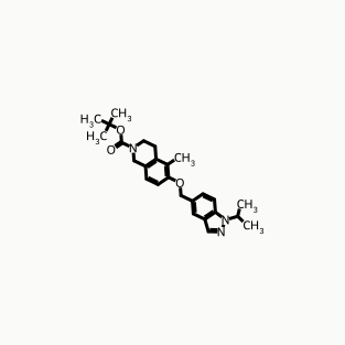 Cc1c(OCc2ccc3c(cnn3C(C)C)c2)ccc2c1CCN(C(=O)OC(C)(C)C)C2